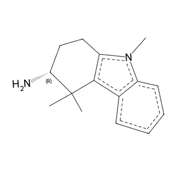 Cn1c2c(c3ccccc31)C(C)(C)[C@H](N)CC2